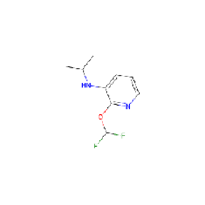 CC(C)Nc1cccnc1OC(F)F